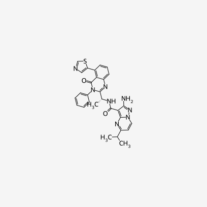 CC(C)c1ccn2nc(N)c(C(=O)N[C@H](C)c3nc4cccc(-c5cncs5)c4c(=O)n3-c3ccccc3)c2n1